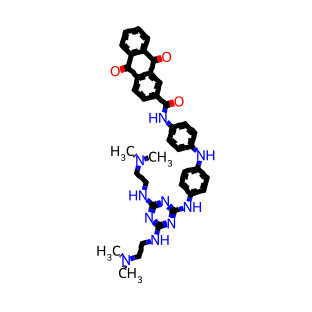 CN(C)CCNc1nc(NCCN(C)C)nc(Nc2ccc(Nc3ccc(NC(=O)c4ccc5c(c4)C(=O)c4ccccc4C5=O)cc3)cc2)n1